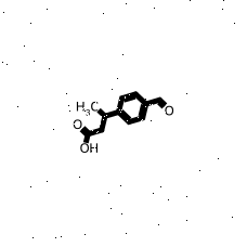 CC(CC(=O)O)c1ccc(C=O)cc1